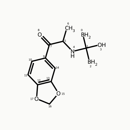 BC(B)(O)NC(C)C(=O)c1ccc2c(c1)OCO2